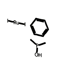 CP(C)O.[I][Ru][I].c1ccccc1